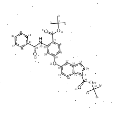 CC(C)(C)OC(=O)c1ccc(Oc2ccc3c(ccn3C(=O)OC(C)(C)C)c2)cc1NC(=O)c1ccccc1